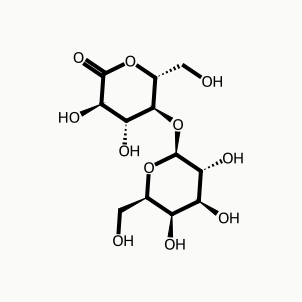 O=C1O[C@H](CO)[C@@H](O[C@@H]2O[C@H](CO)[C@H](O)[C@H](O)[C@H]2O)[C@H](O)[C@H]1O